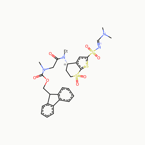 CCN(C(=O)CN(C)C(=O)OCC1c2ccccc2-c2ccccc21)[C@H]1CCS(=O)(=O)c2sc(S(=O)(=O)/N=C/N(C)C)cc21